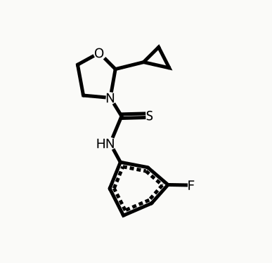 Fc1cccc(NC(=S)N2CCOC2C2CC2)c1